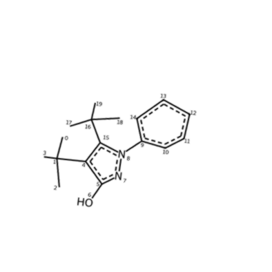 CC(C)(C)c1c(O)nn(-c2ccccc2)c1C(C)(C)C